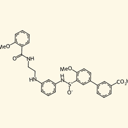 COc1ccccc1C(=O)NCCNc1cccc(N[S+]([O-])c2cc(-c3cccc(C(=O)O)c3)ccc2OC)c1